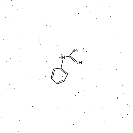 CC(C)C(=N)Nc1ccccc1